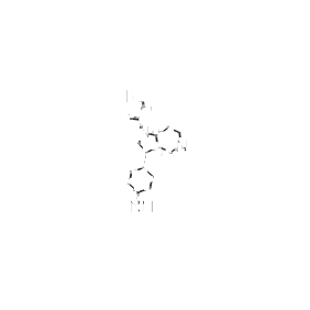 CC(C)(C)OC(=O)n1cc(-c2ccc(N)cc2)c2cnccc21